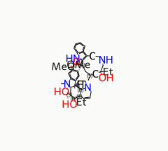 CCC1(O)CNCCc2c([nH]c3ccccc23)[C@@](C(=O)OC)(c2cc3c(cc2OC)N(C)C2[C@](C)(O)[C@H](O)[C@]4(CC)C=CCN5CC[C@]32[C@@H]54)C[C@H](C)C1